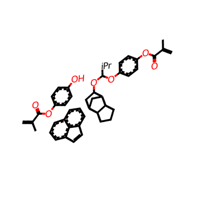 C1=Cc2cccc3cccc1c23.C=C(C)C(=O)Oc1ccc(O)cc1.C=C(C)C(=O)Oc1ccc(OC(OC2CC3CC2C2CCCC32)C(C)C)cc1